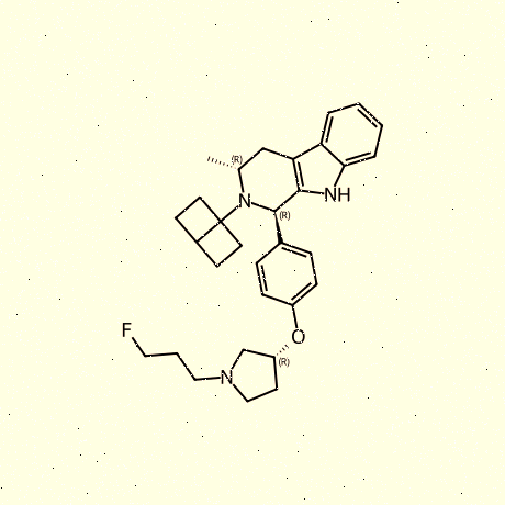 C[C@@H]1Cc2c([nH]c3ccccc23)[C@@H](c2ccc(O[C@@H]3CCN(CCCF)C3)cc2)N1C12CCC1CC2